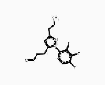 CCCc1cc(CCC=O)n(-c2ccc(F)c(F)c2F)n1